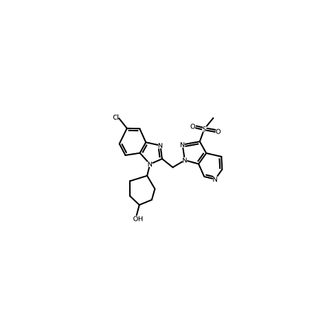 CS(=O)(=O)c1nn(Cc2nc3cc(Cl)ccc3n2C2CCC(O)CC2)c2cnccc12